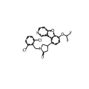 O=C1CC(c2ccc(OC(F)F)c3oc4ccncc4c23)CN1Cc1c(Cl)cccc1Cl